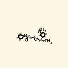 CCN(CCOCCOC(=O)Oc1ccccc1)c1cccc(OC)c1